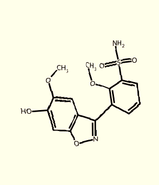 COc1cc2c(-c3cccc(S(N)(=O)=O)c3OC)noc2cc1O